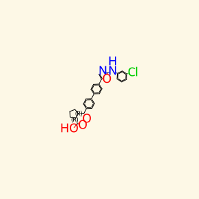 O=C(O)[C@@H]1CCC[C@H]1C(=O)c1ccc(-c2ccc(-c3cnc(Nc4cccc(Cl)c4)o3)cc2)cc1